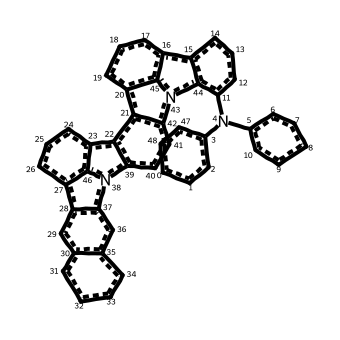 c1ccc(N(c2ccccc2)c2cccc3c4cccc5c6c7c8cccc9c%10cc%11ccccc%11cc%10n(c7ccc6n(c23)c45)c98)cc1